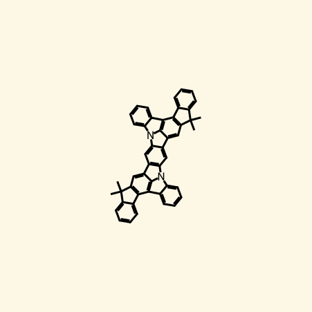 CC1(C)c2ccccc2-c2c1cc1c3cc4c(cc3n3c5ccccc5c2c13)c1cc2c(c3c5ccccc5n4c13)-c1ccccc1C2(C)C